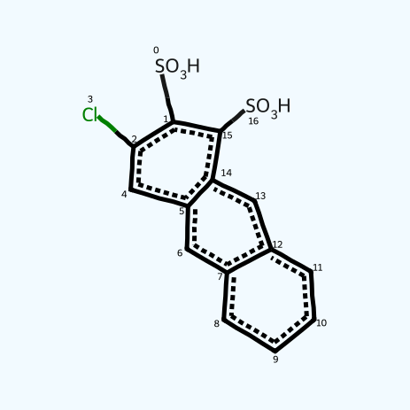 O=S(=O)(O)c1c(Cl)cc2cc3ccccc3cc2c1S(=O)(=O)O